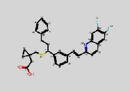 O=C(O)CC1(CSC(CCc2ccccc2)c2cccc(C=Cc3ccc4cc(F)c(F)cc4n3)c2)CC1